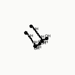 Oc1cccc(CCc2c(CCNCCCCCCCCCNCCc3ccccc3)ccc(O)c2O)c1.Oc1cccc(CCc2c(CCNCCCCCCCNCCc3ccccc3)ccc(O)c2O)c1